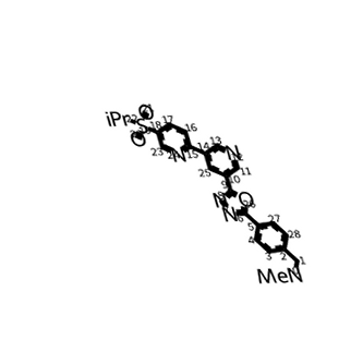 CNCc1ccc(-c2nnc(-c3cncc(-c4ccc(S(=O)(=O)C(C)C)cn4)c3)o2)cc1